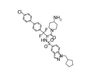 NC1CCN(C(=O)[C@H](NS(=O)(=O)c2ccc3c(cnn3CC3CCCC3)c2)C(F)(F)c2ccc(-c3ccc(Cl)cc3)cc2)CC1